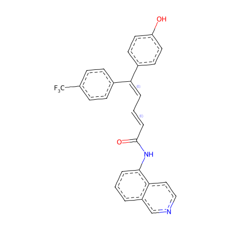 O=C(/C=C/C=C(/c1ccc(O)cc1)c1ccc(C(F)(F)F)cc1)Nc1cccc2cnccc12